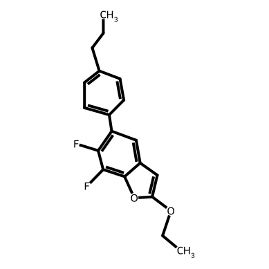 CCCc1ccc(-c2cc3cc(OCC)oc3c(F)c2F)cc1